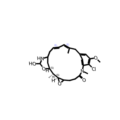 COc1cc2cc(c1Cl)N(C)C(=O)CCC1O[C@H]1[C@H](C)[C@@H]1CC(C/C=C/C=C(\C)C2)NC(O)O1